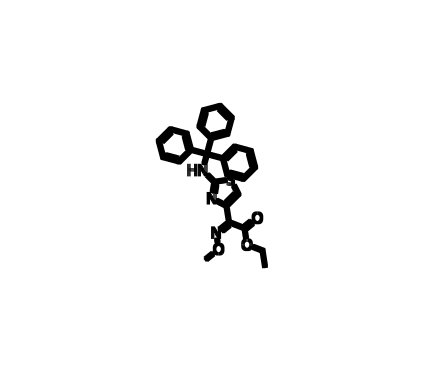 CCOC(=O)C(=NOC)c1csc(NC(c2ccccc2)(c2ccccc2)c2ccccc2)n1